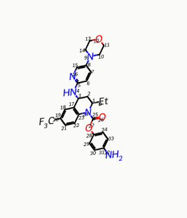 CC[C@@H]1C[C@H](Nc2ccc(N3CCOCC3)cn2)c2cc(C(F)(F)F)ccc2N1C(=O)Oc1ccc(N)cc1